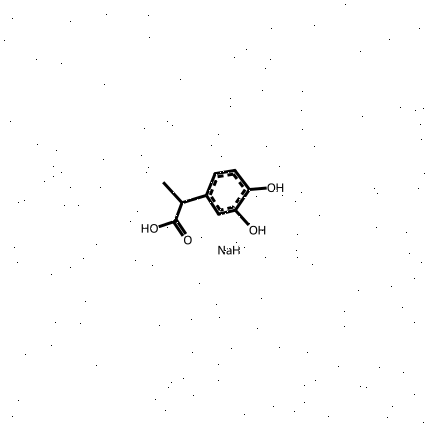 CC(C(=O)O)c1ccc(O)c(O)c1.[NaH]